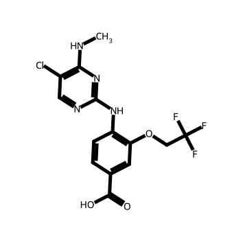 CNc1nc(Nc2ccc(C(=O)O)cc2OCC(F)(F)F)ncc1Cl